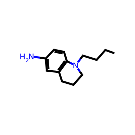 CCCCN1CCCc2cc(N)ccc21